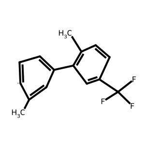 Cc1[c]ccc(-c2cc(C(F)(F)F)ccc2C)c1